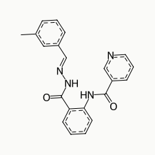 Cc1cccc(C=NNC(=O)c2ccccc2NC(=O)c2cccnc2)c1